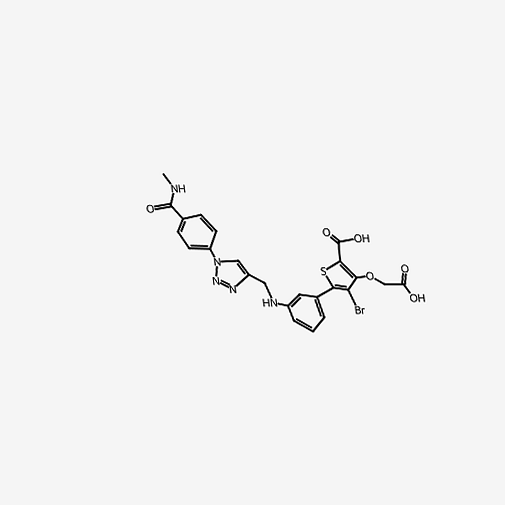 CNC(=O)c1ccc(-n2cc(CNc3cccc(-c4sc(C(=O)O)c(OCC(=O)O)c4Br)c3)nn2)cc1